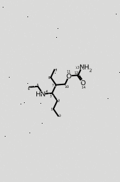 CCCC(NCC)C(CC)COC(N)=O